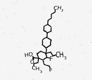 CCCCCC1CCC(C2CCC(C3(CCC)CCC(CCC)(C(=O)O)C(CCF)C3F)CC2)CC1